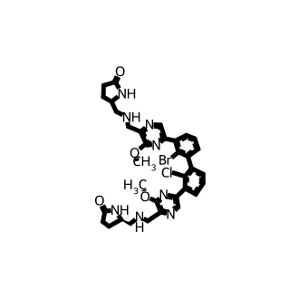 COc1nc(-c2cccc(-c3cccc(-c4cnc(CNCC5CCC(=O)N5)c(OC)n4)c3Br)c2Cl)cnc1CNC[C@H]1CCC(=O)N1